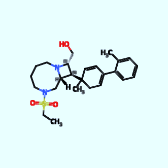 CCS(=O)(=O)N1CCCCN2[C@H](CO)[C@@H](C3(C)C=CC(c4ccccc4C)=CC3)[C@@H]2C1